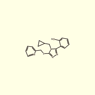 Oc1ccccc1-c1nnc(SCc2ccccn2)n1CC1CC1